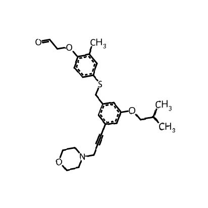 Cc1cc(SCc2cc(C#CCN3CCOCC3)cc(OCC(C)C)c2)ccc1OCC=O